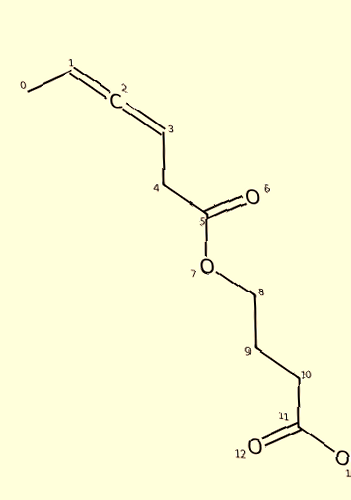 CC=C=CCC(=O)OCCCC(=O)O